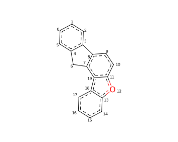 c1ccc2c(c1)Cc1c-2ccc2oc3ccccc3c12